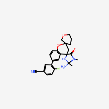 CN1C(=O)C2(CC3(CCCOC3)Oc3ccc(-c4cc(C#N)ccc4F)cc32)NC1(C)N